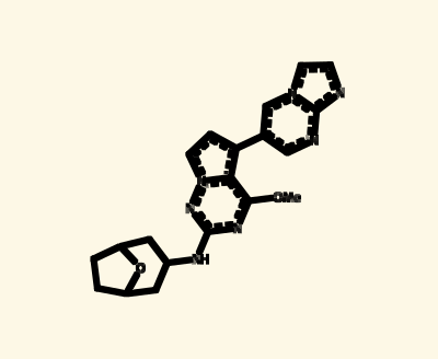 COc1nc(NC2CC3CCC(C2)O3)nn2ccc(-c3cnc4nccn4c3)c12